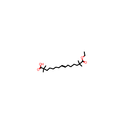 CCOC(=O)C(C)(C)CCCC/C=C/CCCCCC(C)(C)C(=O)O